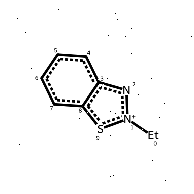 CC[n+]1nc2ccccc2s1